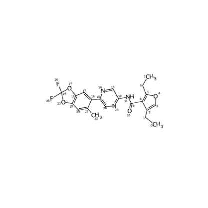 CCc1coc(CC)c1C(=O)Nc1cnc(-c2cc3c(cc2C)OC(F)(F)O3)cn1